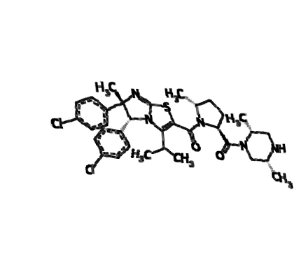 CC(C)C1=C(C(=O)N2[C@H](C)CC[C@H]2C(=O)N2C[C@@H](C)NC[C@H]2C)SC2=N[C@@](C)(c3ccc(Cl)cc3)[C@@H](c3ccc(Cl)cc3)N21